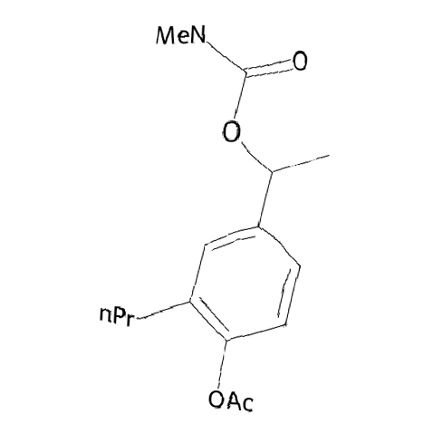 CCCc1cc(C(C)OC(=O)NC)ccc1OC(C)=O